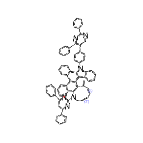 C=C1/C=C\C=C/CN(c2nc(-c3ccccc3)cc(-c3ccccc3)n2)c2c1c1c(c3ccccc23)c2ccccc2c2c1c1ccccc1n2-c1ccc(-c2cnc(-c3ccccc3)nc2-c2ccccc2)cc1